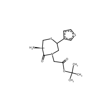 CC(C)(C)OC(=O)CN1CC(c2ccsc2)SC[C@H](N)C1=O